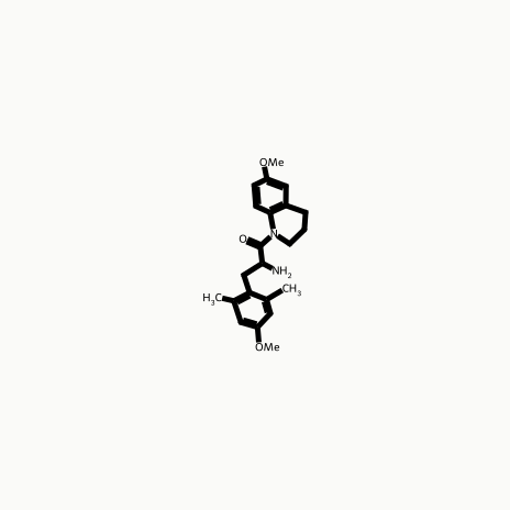 COc1cc(C)c(CC(N)C(=O)N2CCCc3cc(OC)ccc32)c(C)c1